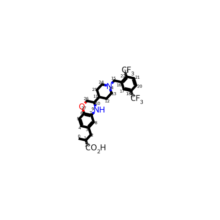 CC(Cc1ccc2c(c1)NC(C1CCN(Cc3cc(C(F)(F)F)ccc3C(F)(F)F)CC1)CO2)C(=O)O